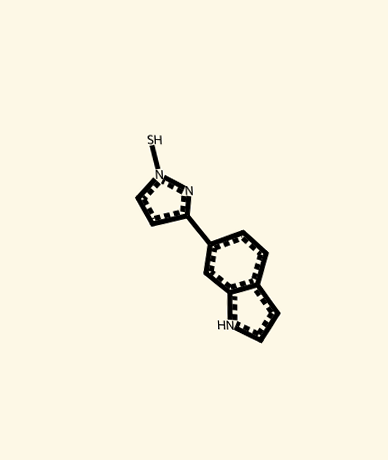 Sn1ccc(-c2ccc3cc[nH]c3c2)n1